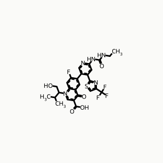 CCNC(=O)Nc1cc(-c2nc(C(F)(F)F)cs2)c(-c2cc3c(=O)c(C(=O)O)cn(C(CO)C(C)C)c3cc2F)cn1